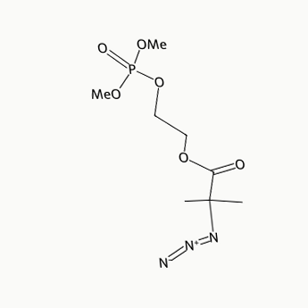 COP(=O)(OC)OCCOC(=O)C(C)(C)N=[N+]=[N-]